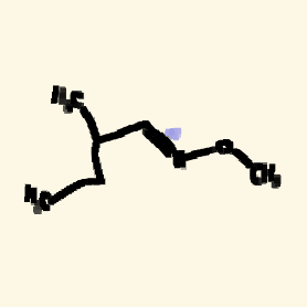 CCC(C)/C=N/OC